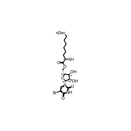 CCCCCCCCCCCCCCCCC(S)C(=O)OC[C@H]1O[C@@H](n2cc(Br)c(=O)[nH]c2=O)[C@H](O)[C@@H]1O